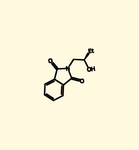 CC[C@@H](O)CN1C(=O)c2ccccc2C1=O